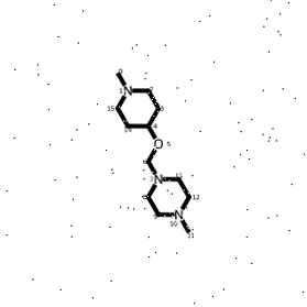 CN1CCC(OCN2CCN(C)CC2)CC1